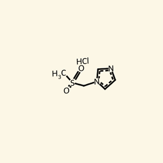 CS(=O)(=O)Cn1ccnc1.Cl